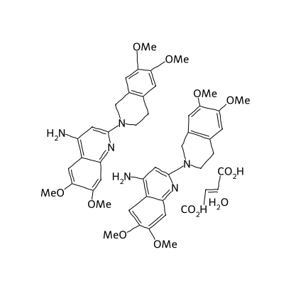 COc1cc2c(cc1OC)CN(c1cc(N)c3cc(OC)c(OC)cc3n1)CC2.COc1cc2c(cc1OC)CN(c1cc(N)c3cc(OC)c(OC)cc3n1)CC2.O.O=C(O)C=CC(=O)O